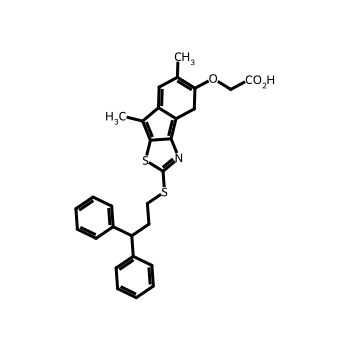 CC1=C(OCC(=O)O)CC2=c3nc(SCCC(c4ccccc4)c4ccccc4)sc3=C(C)C2=C1